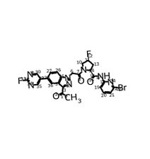 CC(=O)c1nn(CC(=O)N2C[C@H](F)C[C@H]2C(=O)Nc2cccc(Br)n2)c2ccc(-c3cnc(F)nc3)cc12